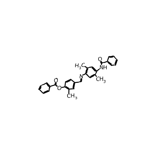 Cc1cc(NC(=O)c2ccccc2)c(C)cc1/N=C/c1ccc(OC(=O)c2ccccc2)c(C)c1